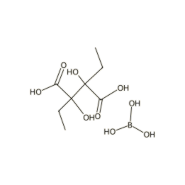 CCC(O)(C(=O)O)C(O)(CC)C(=O)O.OB(O)O